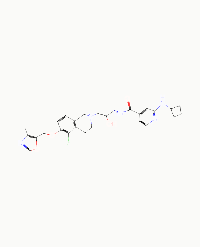 Cc1ncoc1COc1ccc2c(c1Cl)CCN(CC(O)CNC(=O)c1ccnc(NC3CCC3)c1)C2